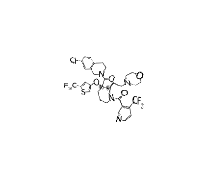 O=C(c1cnccc1C(F)(F)F)N1CCC[C@](Oc2csc(C(F)(F)F)c2)(C(=O)N2CCc3ccc(Cl)cc3C2)[C@H]1CCN1CCOCC1